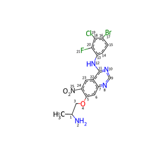 CC(N)COc1cc2ncnc(Nc3ccc(Br)c(Cl)c3F)c2cc1[N+](=O)[O-]